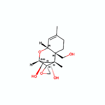 CC1=C[C@H]2O[C@@H]3[C@H](O)[C@@H](O)[C@](C)([C@@]2(CO)CC1)[C@]31CO1